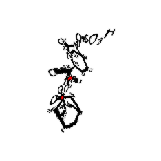 CC(C)(C)OC(=O)N1C2CCC1CC(ONC(=O)[C@@H]1CCC3CN1C(=O)N3OS(=O)(=O)O)C2